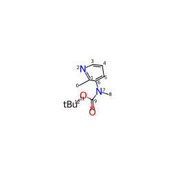 Cc1ncccc1N(C)C(=O)OC(C)(C)C